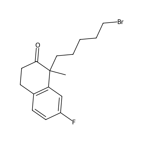 CC1(CCCCCBr)C(=O)CCc2ccc(F)cc21